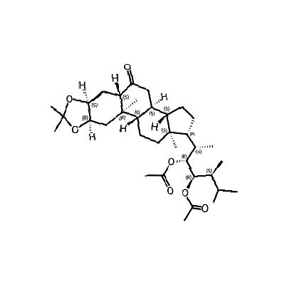 CC(=O)O[C@H]([C@@H](C)[C@H]1CC[C@H]2[C@@H]3CC(=O)[C@H]4C[C@@H]5OC(C)(C)O[C@@H]5C[C@]4(C)[C@H]3CC[C@]12C)[C@H](OC(C)=O)[C@@H](C)C(C)C